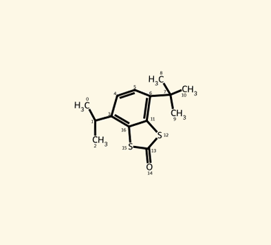 CC(C)c1ccc(C(C)(C)C)c2sc(=O)sc12